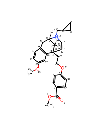 COC(=O)c1ccc(OCC[C@@]23CCN(CC4CC4)[C@H](Cc4ccc(OC)cc42)[C@@H]3C)cc1